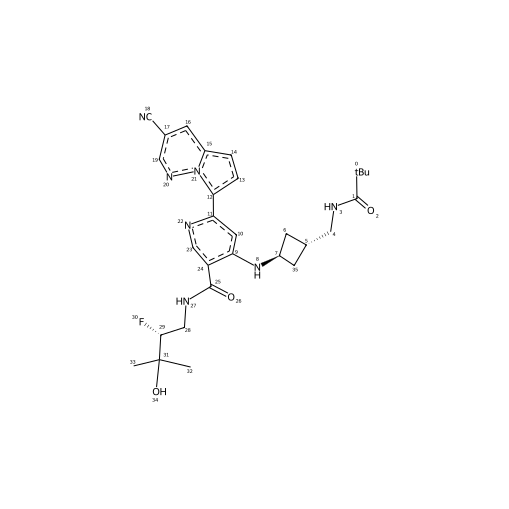 CC(C)(C)C(=O)NC[C@H]1C[C@H](Nc2cc(-c3ccc4cc(C#N)cnn34)ncc2C(=O)NC[C@@H](F)C(C)(C)O)C1